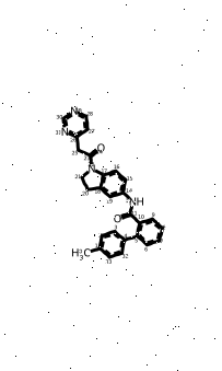 Cc1ccc(-c2ccccc2C(=O)Nc2ccc3c(c2)CCN3C(=O)Cc2ccncn2)cc1